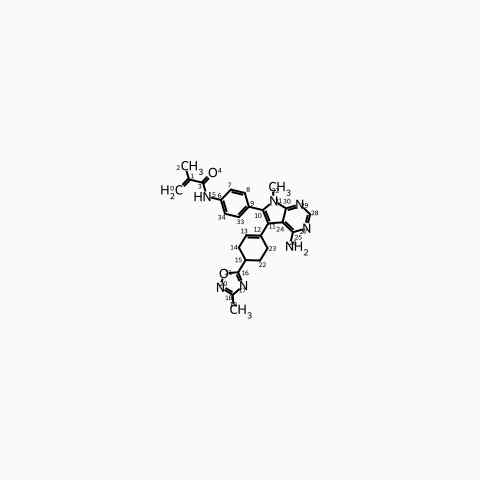 C=C(C)C(=O)Nc1ccc(-c2c(C3=CCC(c4nc(C)no4)CC3)c3c(N)ncnc3n2C)cc1